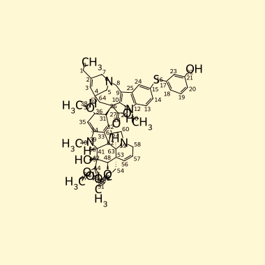 CCC1=C[C@H]2CN(C1)Cc1c([nH]c3ccc(Sc4cccc(O)c4)cc13)[C@@](C(=O)OC)(C1C=C3C(=CC1OC)N(C)[C@H]1[C@@](O)(C(=O)OC)[C@H](OC(C)=O)[C@]4(CC)C=CCN5CC[C@]31[C@@H]54)C2